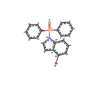 O=P(c1ccccc1)(c1ccccc1)n1ccc2c(Br)cccc21